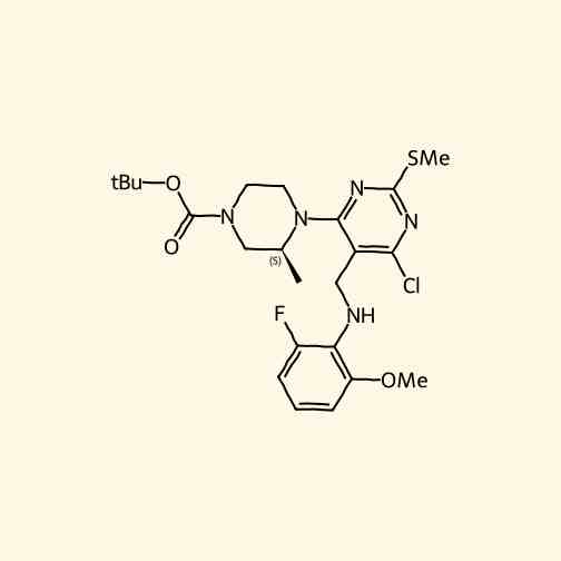 COc1cccc(F)c1NCc1c(Cl)nc(SC)nc1N1CCN(C(=O)OC(C)(C)C)C[C@@H]1C